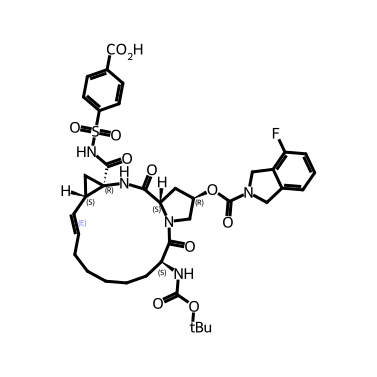 CC(C)(C)OC(=O)N[C@H]1CCCCC/C=C/[C@@H]2C[C@@]2(C(=O)NS(=O)(=O)c2ccc(C(=O)O)cc2)NC(=O)[C@@H]2C[C@@H](OC(=O)N3Cc4cccc(F)c4C3)CN2C1=O